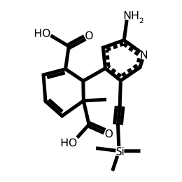 CC1(C(=O)O)C=CC=C(C(=O)O)C1c1cc(N)ncc1C#C[Si](C)(C)C